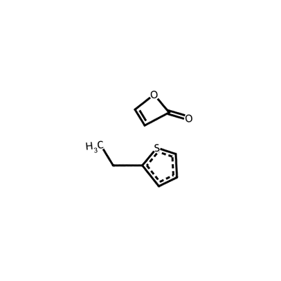 CCc1cccs1.O=C1C=CO1